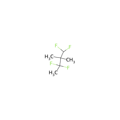 CC(F)(F)C(C)(C)C(F)F